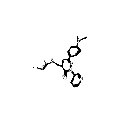 C[C@@H](CO)NCc1cc(-c2ccc(N(C)C)cc2)nn(-c2cccnc2)c1=O